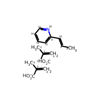 C=C(C)C(=O)O.C=C(C)C(=O)O.CC=Cc1ccccn1